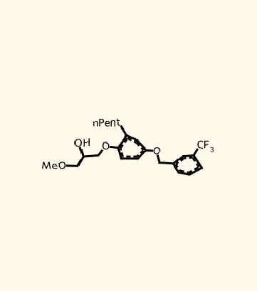 CCCCCc1cc(OCc2cccc(C(F)(F)F)c2)ccc1OCC(O)COC